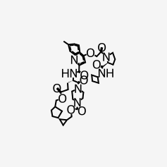 Cc1ccc2c(OCC(=O)N3CCC[C@H]3C(=O)NC3CCC3)cc(C(=O)N[C@@H](CCC(=O)OCC3CCCC3)C(=O)N3CCN(C(=O)OCC4CC4)CC3)nc2c1